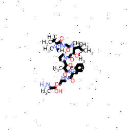 CC[C@H](C)[C@@H]([C@@H](CC(=O)N1CCC[C@H]1[C@H](OC)[C@@H](C)C(=O)N[C@@H](Cc1ccccc1)C(=O)NCCCOC(O)[C@H](C)N)OC)N(C)C(=O)CNC(=O)[C@H](C(C)C)N(C)C